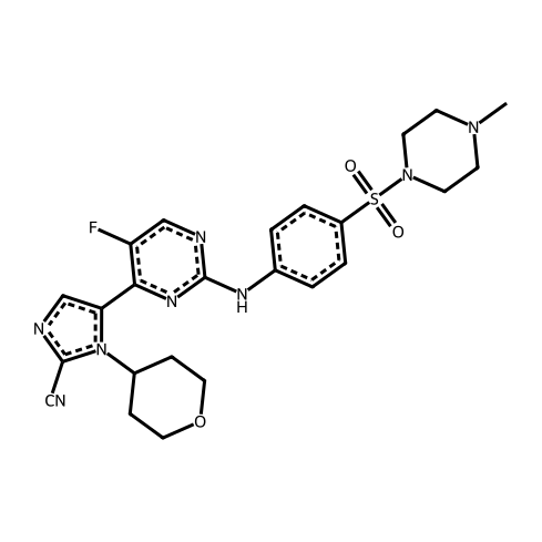 CN1CCN(S(=O)(=O)c2ccc(Nc3ncc(F)c(-c4cnc(C#N)n4C4CCOCC4)n3)cc2)CC1